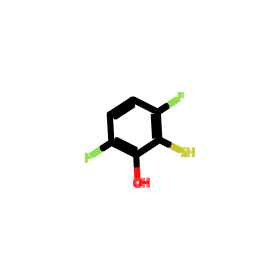 Oc1c(F)ccc(F)c1S